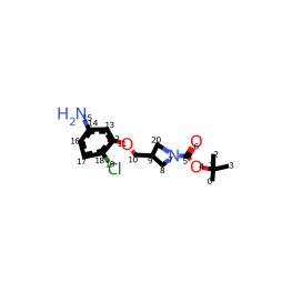 CC(C)(C)OC(=O)N1CC(COc2cc(N)ccc2Cl)C1